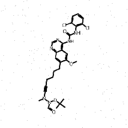 COc1cc2c(NC(=O)Nc3c(Cl)cccc3Cl)ncnc2cc1CCCCC#CN(C)N(C=O)OC(C)(C)C